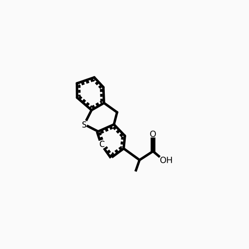 CC(C(=O)O)c1ccc2c(c1)Cc1ccccc1S2